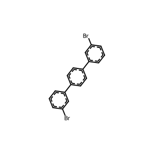 Brc1cccc(-c2ccc(-c3cccc(Br)c3)cc2)c1